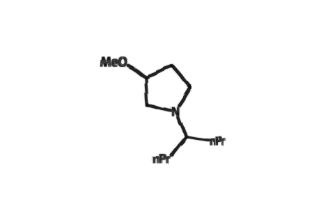 CCCC(CCC)N1CCC(OC)C1